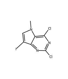 Cn1cc(I)c2nc(Cl)nc(Cl)c21